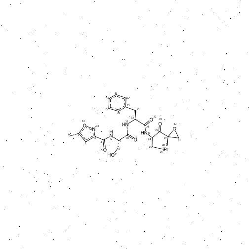 Cc1cc(C(=O)N[C@@H](CO)C(=O)N[C@@H](Cc2ccccc2)C(=O)NC(CC(C)C)C(=O)[C@@]2(C)CO2)no1